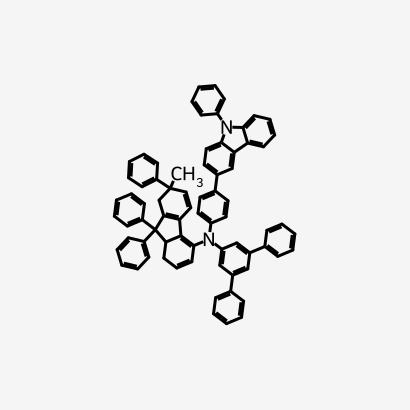 CC1(c2ccccc2)C=CC2=C(C1)C(c1ccccc1)(c1ccccc1)C1CC=CC(N(c3ccc(-c4ccc5c(c4)c4ccccc4n5-c4ccccc4)cc3)c3cc(-c4ccccc4)cc(-c4ccccc4)c3)=C21